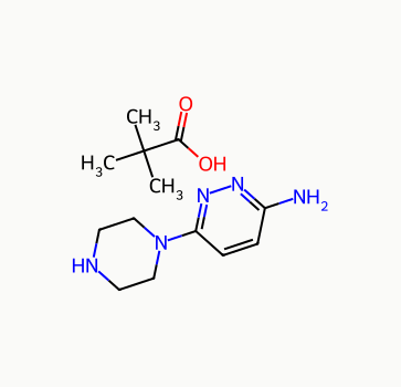 CC(C)(C)C(=O)O.Nc1ccc(N2CCNCC2)nn1